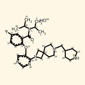 CC(C)N(C(=O)c1cc(F)ccc1Oc1cncnc1N1CC2(CCN(CC3CCNCC3)CC2)C1)C(C)C.Cl